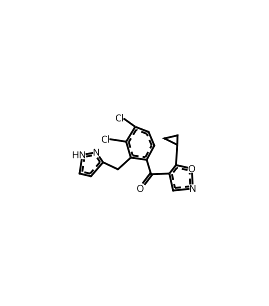 O=C(c1cnoc1C1CC1)c1ccc(Cl)c(Cl)c1Cc1cc[nH]n1